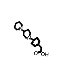 O=C(O)Cc1ccc(N2CCC(N3CCCCC3)CC2)cc1